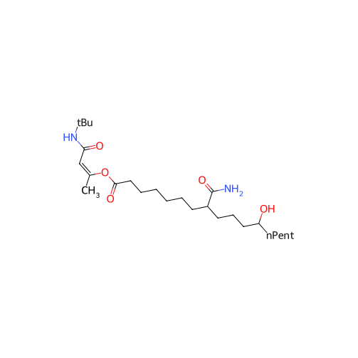 CCCCCC(O)CCCC(CCCCCCC(=O)O/C(C)=C\C(=O)NC(C)(C)C)C(N)=O